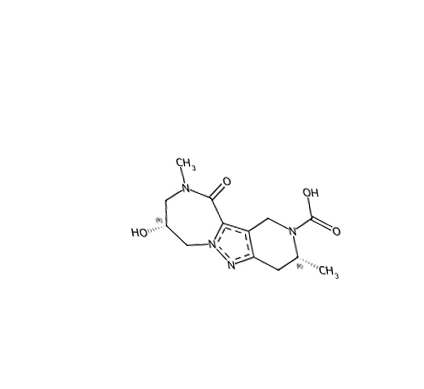 C[C@@H]1Cc2nn3c(c2CN1C(=O)O)C(=O)N(C)C[C@@H](O)C3